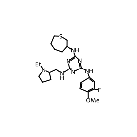 CCN1CCCC1CNc1nc(Nc2ccc(OC)c(F)c2)nc(NC2CCCCSC2)n1